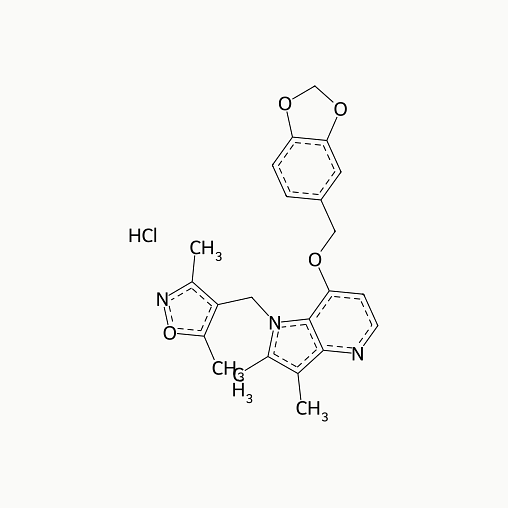 Cc1noc(C)c1Cn1c(C)c(C)c2nccc(OCc3ccc4c(c3)OCO4)c21.Cl